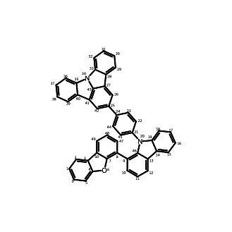 c1ccc2c(c1)oc1c(-c3cccc4c5ccccc5n(-c5ccc(-c6cc7c8ccccc8n8c9ccccc9c(c6)c78)cc5)c34)cccc12